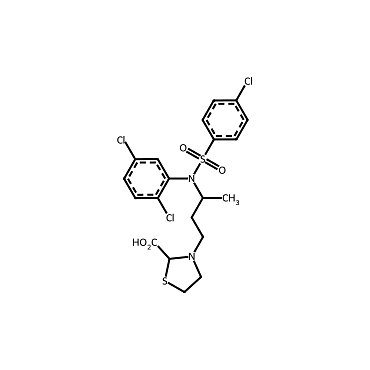 CC(CCN1CCSC1C(=O)O)N(c1cc(Cl)ccc1Cl)S(=O)(=O)c1ccc(Cl)cc1